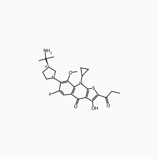 CCC(=O)c1sc2c(c1O)c(=O)c1cc(F)c(N3CC[C@@H](C(C)(C)N)C3)c(OC)c1n2C1CC1